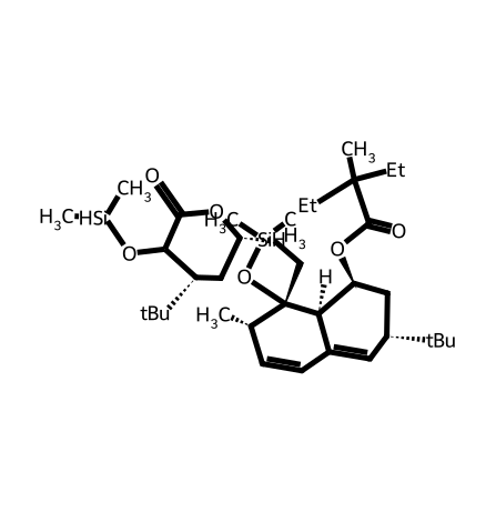 CCC(C)(CC)C(=O)O[C@H]1C[C@H](C(C)(C)C)C=C2C=C[C@H](C)[C@](CC[C@@H]3C[C@H](C(C)(C)C)C(O[SiH](C)C)C(=O)O3)(O[SiH](C)C)[C@H]21